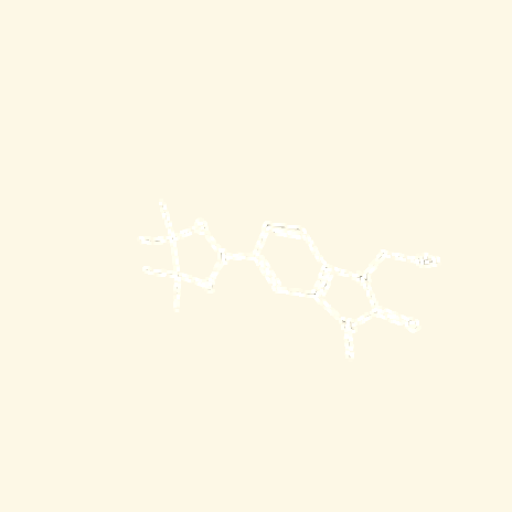 Cn1c(=O)n(CC(C)(C)C)c2ccc(B3OC(C)(C)C(C)(C)O3)cc21